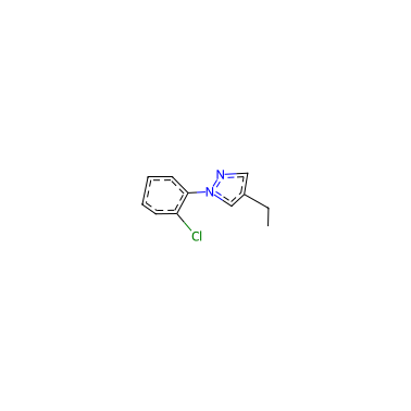 CCc1cnn(-c2ccccc2Cl)c1